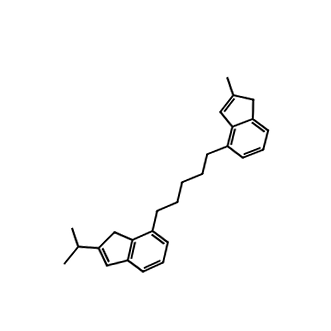 CC1=Cc2c(CCCCCc3cccc4c3CC(C(C)C)=C4)cccc2C1